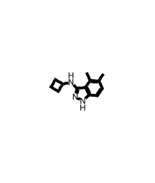 Cc1ccc2[nH]nc(NC3CCC3)c2c1C